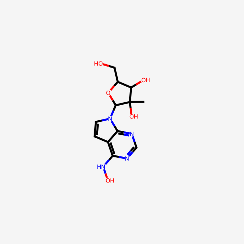 CC1(O)C(O)C(CO)OC1n1ccc2c(NO)ncnc21